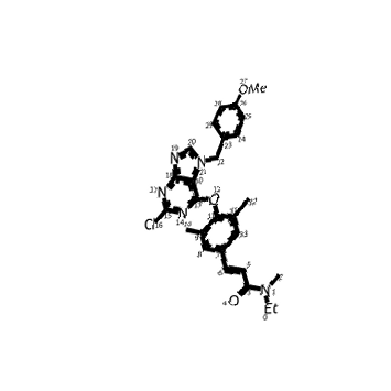 CCN(C)C(=O)/C=C/c1cc(C)c(Oc2nc(Cl)nc3ncn(Cc4ccc(OC)cc4)c23)c(C)c1